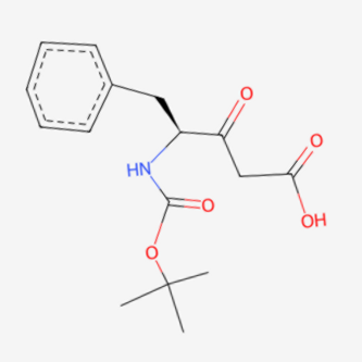 CC(C)(C)OC(=O)N[C@@H](Cc1ccccc1)C(=O)CC(=O)O